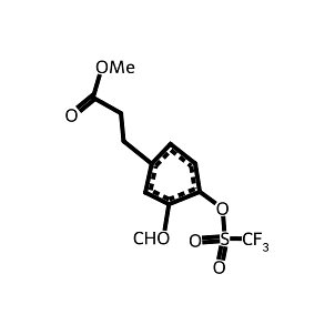 COC(=O)CCc1ccc(OS(=O)(=O)C(F)(F)F)c(C=O)c1